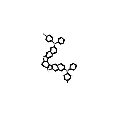 Fc1ccc(N(c2ccccc2)c2ccc3cc4c(cc3c2)oc2ccc3oc5cc6cc(N(c7ccccc7)c7ccc(F)cc7)ccc6cc5c3c24)cc1